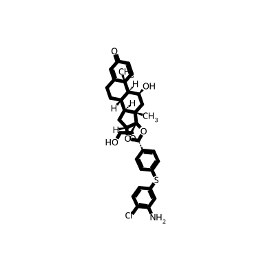 C[C@]12C=CC(=O)C=C1CC[C@@H]1[C@@H]2[C@@H](O)C[C@@]2(C)[C@H]1C[C@H]1O[C@@H](c3ccc(Sc4ccc(Cl)c(N)c4)cc3)O[C@]12C(=O)CO